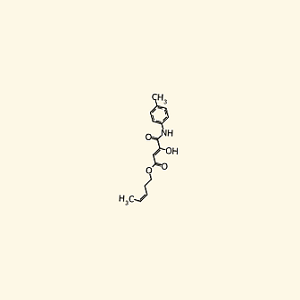 C/C=C\CCOC(=O)/C=C(\O)C(=O)Nc1ccc(C)cc1